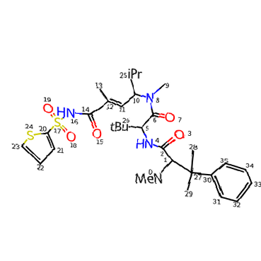 CNC(C(=O)NC(C(=O)N(C)C(/C=C(\C)C(=O)NS(=O)(=O)c1cccs1)C(C)C)C(C)(C)C)C(C)(C)c1ccccc1